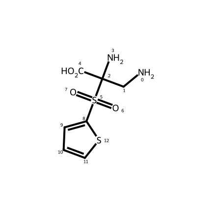 NCC(N)(C(=O)O)S(=O)(=O)c1cccs1